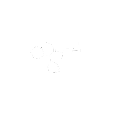 CC(C)(C)OC(=O)N1CCc2ccccc2C1c1ccccc1